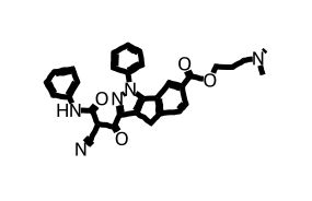 CN(C)CCCOC(=O)c1ccc2c(c1)-c1c(c(C(=O)C(C#N)C(=O)Nc3ccccc3)nn1-c1ccccc1)C2